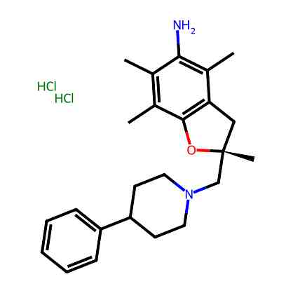 Cc1c(C)c2c(c(C)c1N)C[C@](C)(CN1CCC(c3ccccc3)CC1)O2.Cl.Cl